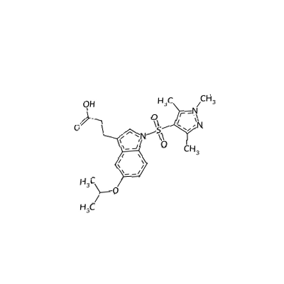 Cc1nn(C)c(C)c1S(=O)(=O)n1cc(CCC(=O)O)c2cc(OC(C)C)ccc21